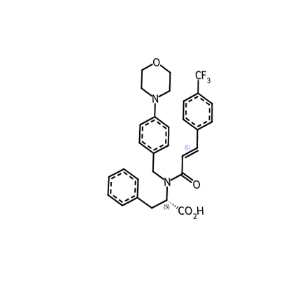 O=C(O)[C@H](Cc1ccccc1)N(Cc1ccc(N2CCOCC2)cc1)C(=O)/C=C/c1ccc(C(F)(F)F)cc1